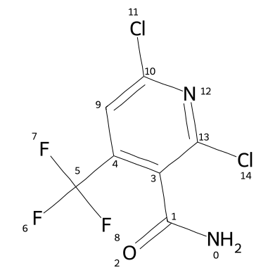 NC(=O)c1c(C(F)(F)F)cc(Cl)nc1Cl